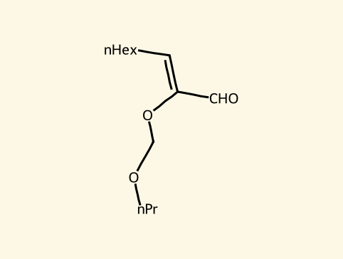 CCCCCCC=C(C=O)OCOCCC